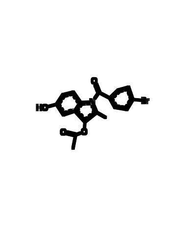 CC(=O)Oc1c(C)n(C(=O)c2ccc(Br)cc2)c2ccc(O)cc12